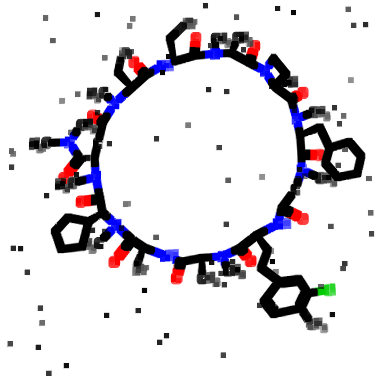 CC(C)C[C@@H]1NC(=O)[C@H](CC(C)C)N(C)C(=O)C[C@@H](C(=O)N(C)C)N(C)C(=O)[C@H](C2CCCC2)N(C)C(=O)[C@H](C(C)C)NC(=O)[C@H](C)N(C)C(=O)[C@H](CCc2ccc(C(F)(F)F)c(Cl)c2)NC(=O)CN(C)C(=O)[C@H](CC2CCCCC2)N(C)C(=O)[C@@H]2CCN2C(=O)[C@H](C)N(C)C1=O